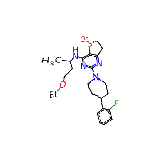 CCOCCC(C)Nc1nc(N2CCC(c3ccccc3F)CC2)nc2c1[S+]([O-])CC2